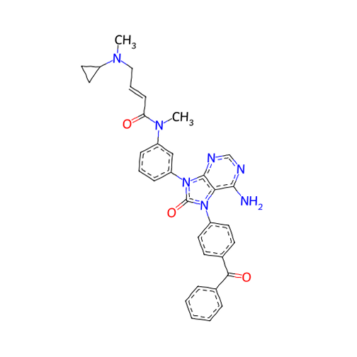 CN(C(=O)/C=C/CN(C)C1CC1)c1cccc(-n2c(=O)n(-c3ccc(C(=O)c4ccccc4)cc3)c3c(N)ncnc32)c1